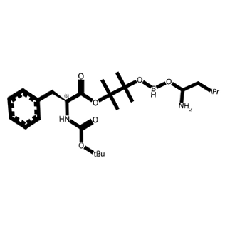 CC(C)CC(N)OBOC(C)(C)C(C)(C)OC(=O)[C@H](Cc1ccccc1)NC(=O)OC(C)(C)C